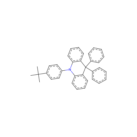 CC(C)(C)c1ccc(N2c3ccccc3C(c3ccccc3)(c3ccccc3)c3ccccc32)cc1